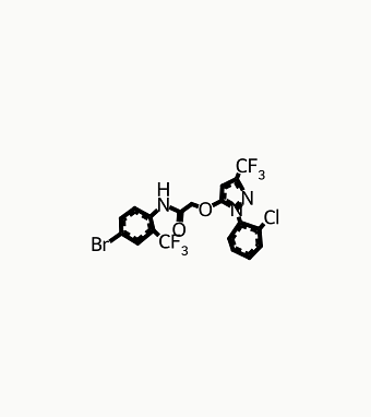 O=C(COc1cc(C(F)(F)F)nn1-c1ccccc1Cl)Nc1ccc(Br)cc1C(F)(F)F